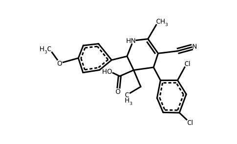 CCC1(C(=O)O)C(c2ccc(OC)cc2)NC(C)=C(C#N)C1c1ccc(Cl)cc1Cl